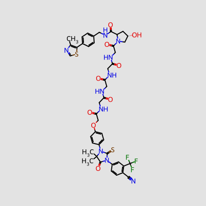 Cc1ncsc1-c1ccc(CNC(=O)C2C[C@H](O)CN2C(=O)CNC(=O)CNC(=O)CNC(=O)CNC(=O)COc2ccc(N3C(=S)N(c4ccc(C#N)c(C(F)(F)F)c4)C(=O)C3(C)C)cc2)cc1